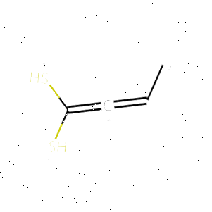 CC=C=C(S)S